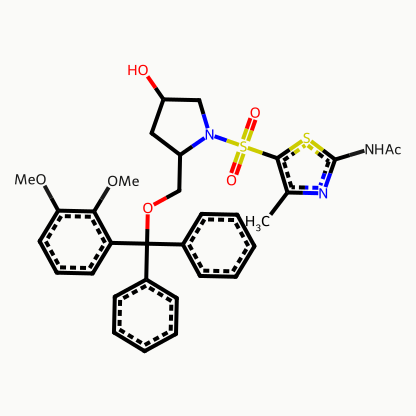 COc1cccc(C(OCC2CC(O)CN2S(=O)(=O)c2sc(NC(C)=O)nc2C)(c2ccccc2)c2ccccc2)c1OC